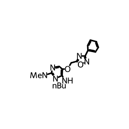 CCCCNc1nc(NC)ncc1OCc1nc(-c2ccccc2)no1